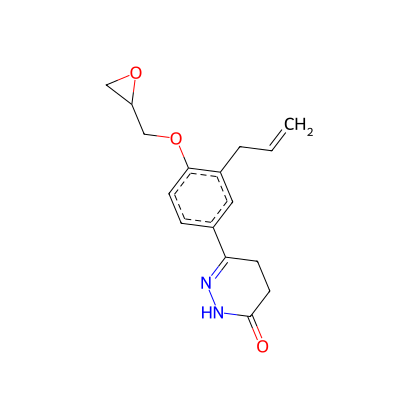 C=CCc1cc(C2=NNC(=O)CC2)ccc1OCC1CO1